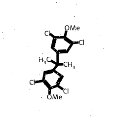 COc1c(Cl)cc(C(C)(C)c2cc(Cl)c(OC)c(Cl)c2)cc1Cl